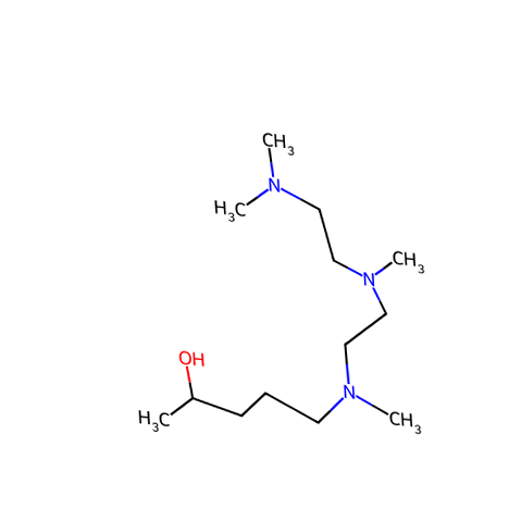 CC(O)CCCN(C)CCN(C)CCN(C)C